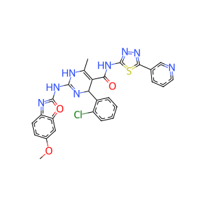 COc1ccc2nc(NC3=NC(c4ccccc4Cl)C(C(=O)Nc4nnc(-c5cccnc5)s4)=C(C)N3)oc2c1